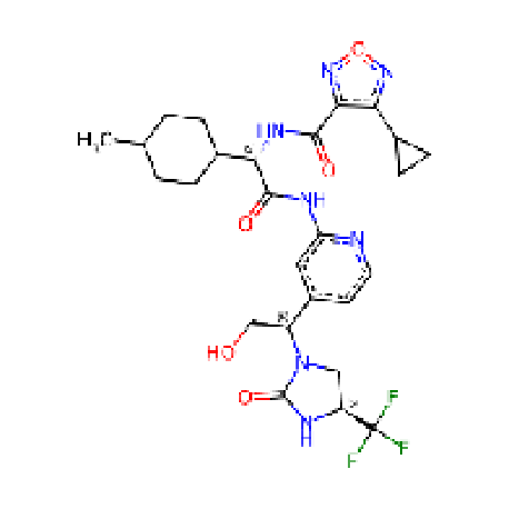 CC1CCC([C@H](NC(=O)c2nonc2C2CC2)C(=O)Nc2cc([C@H](CO)N3C[C@@H](C(F)(F)F)NC3=O)ccn2)CC1